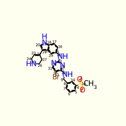 CS(=O)(=O)c1cccc(CNc2nc(Nc3ccc4[nH]cc(C5=CCNCC5)c4c3)ncc2Br)c1